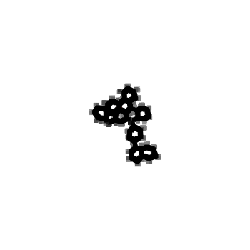 c1ccc(N(c2ccc(-c3cccc4ccccc34)cc2)c2ccc3c(c2)sc2ccccc23)c(-c2cc3ccccc3c3ccccc23)c1